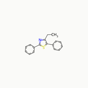 CCc1nc(-c2ccccc2)sc1-c1ccccc1